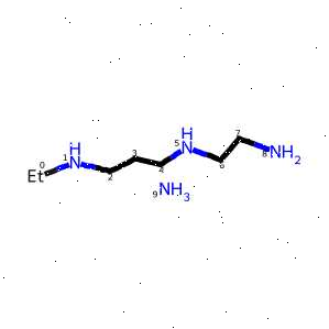 CCNCCCNCCN.N